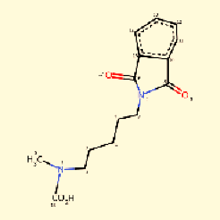 CN(CCCCCN1C(=O)c2ccccc2C1=O)C(=O)O